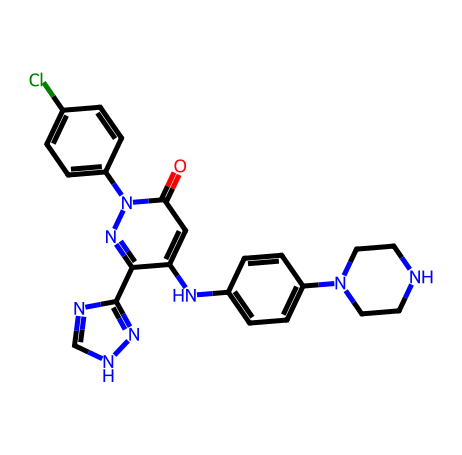 O=c1cc(Nc2ccc(N3CCNCC3)cc2)c(-c2nc[nH]n2)nn1-c1ccc(Cl)cc1